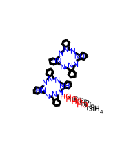 CCCO.CCCO.CCCO.CCCO.[SiH4].c1ccc2c(c1)-c1nc-2nc2[nH]c(nc3nc(nc4[nH]c(n1)c1ccccc41)-c1ccccc1-3)c1ccccc21.c1ccc2c(c1)-c1nc-2nc2[nH]c(nc3nc(nc4[nH]c(n1)c1ccccc41)-c1ccccc1-3)c1ccccc21